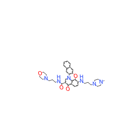 CN1CCN(CCCNc2ccc3c(=O)c(C(=O)NCCCN4CCOCC4)cn4c3c2Oc2cc3ccccc3cc2-4)CC1